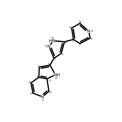 c1cc(-c2cc(-c3cc4ccncc4[nH]3)n[nH]2)ccn1